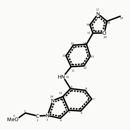 COCCn1cc2cccc(Nc3ccc(-c4cnc(C)o4)cc3)c2n1